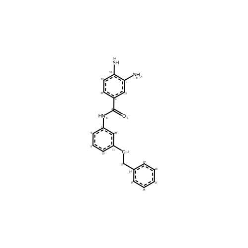 Nc1cc(C(=O)Nc2cccc(OCc3ccccc3)c2)ccc1S